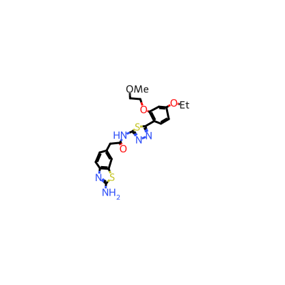 CCOc1ccc(-c2nnc(NC(=O)Cc3ccc4nc(N)sc4c3)s2)c(OCCOC)c1